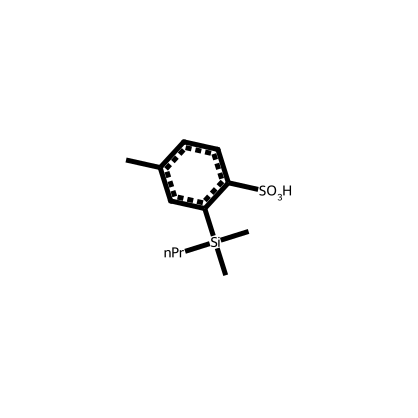 CCC[Si](C)(C)c1cc(C)ccc1S(=O)(=O)O